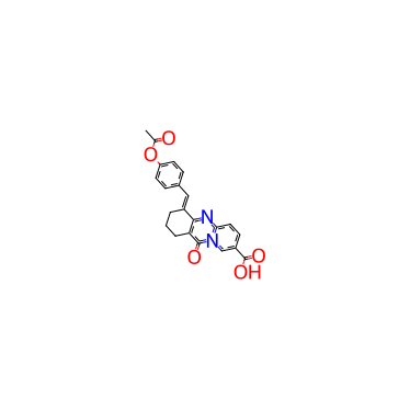 CC(=O)Oc1ccc(C=C2CCCc3c2nc2ccc(C(=O)O)cn2c3=O)cc1